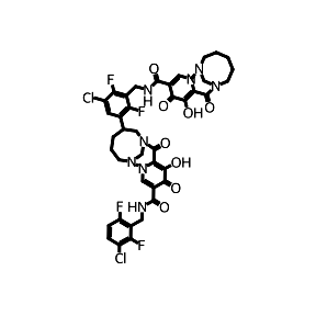 O=C(NCc1c(F)c(Cl)cc(C2CCCN3CN(C2)C(=O)c2c(O)c(=O)c(C(=O)NCc4c(F)ccc(Cl)c4F)cn23)c1F)c1cn2c(c(O)c1=O)C(=O)N1CCCCCN2C1